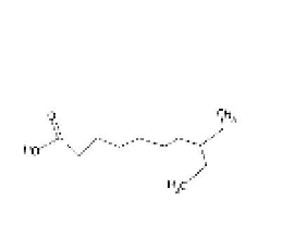 CCC(CC)CCCCCCC(=O)O